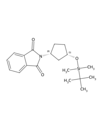 CC(C)(C)[Si](C)(C)O[C@H]1CC[C@@H](N2C(=O)c3ccccc3C2=O)C1